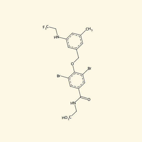 Cc1cc(COc2c(Br)cc(C(=O)NCC(=O)O)cc2Br)cc(NCC(F)(F)F)c1